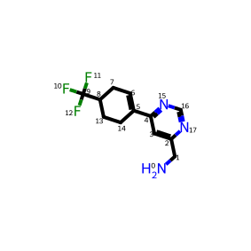 NCc1cc(C2=CCC(C(F)(F)F)CC2)ncn1